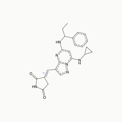 CCC(Nc1cc(NC2CC2)n2ncc(/C=C3\CC(=O)NC3=O)c2n1)c1ccccc1